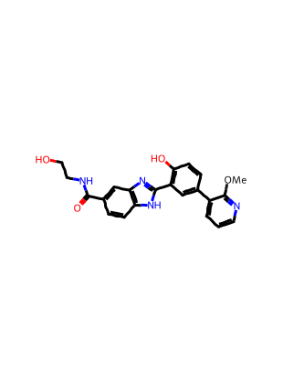 COc1ncccc1-c1ccc(O)c(-c2nc3cc(C(=O)NCCO)ccc3[nH]2)c1